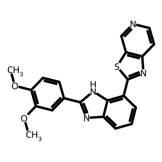 COc1ccc(-c2nc3cccc(-c4nc5ccncc5s4)c3[nH]2)cc1OC